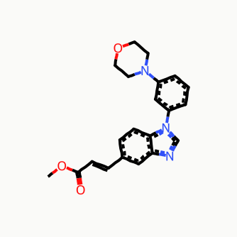 COC(=O)C=Cc1ccc2c(c1)ncn2-c1cccc(N2CCOCC2)c1